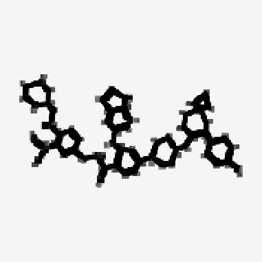 O=C(NSc1ccc(NCC2COCCO2)c([N+](=O)[O-])c1)c1ccc(N2CCN(CC3=C(c4ccc(Cl)cc4)CC4(CCC4)CC3)CC2)cc1Oc1cnc2[nH]ccc2c1